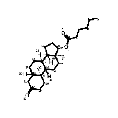 CCCCCC(=O)O[C@H]1CC[C@H]2[C@@H]3CC[C@H]4CC(=O)CC[C@]4(C)[C@H]3CC[C@]12C